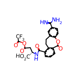 N=C(N)c1ccc2c(c1)CCc1c(C(=O)N[C@@H](CC(=O)OC(=O)C(F)(F)F)C(=O)O)cccc1C(=O)O2